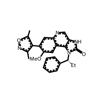 CC[C@H](c1ccccc1)n1c(=O)[nH]c2cnc3cc(-c4c(C)noc4C)c(OC)cc3c21